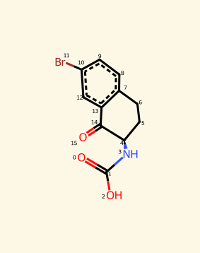 O=C(O)N[C@@H]1CCc2ccc(Br)cc2C1=O